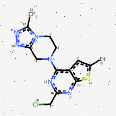 CCc1cc2c(N3CCn4c(nnc4C(F)(F)F)C3)nc(CCl)nc2s1